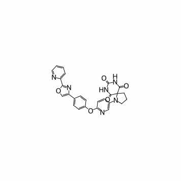 O=C1NC(=O)C2(CCCN2c2ccc(Oc3ccc(-c4coc(-c5ccccn5)n4)cc3)nc2)C(=O)N1